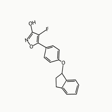 Oc1noc(-c2ccc(OC3CCc4ccccc43)cc2)c1F